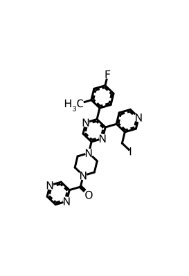 Cc1cc(F)ccc1-c1ncc(N2CCN(C(=O)c3cnccn3)CC2)nc1-c1ccncc1CI